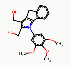 COc1cc(-n2c(CO)c(CO)c3c2-c2ccccc2C3)cc(OC)c1OC